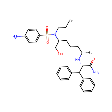 CC[C@@H](CCC[C@@H](CO)N(CCC(C)C)S(=O)(=O)c1ccc(N)cc1)N[C@H](C(N)=O)C(c1ccccc1)c1ccccc1